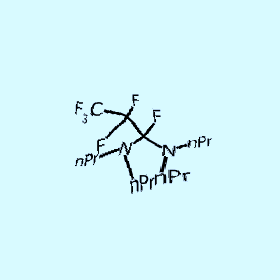 CCCN(CCC)C(F)(N(CCC)CCC)C(F)(F)C(F)(F)F